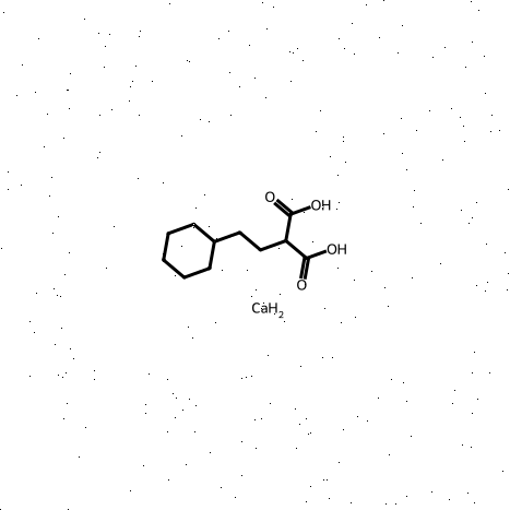 O=C(O)C(CCC1CCCCC1)C(=O)O.[CaH2]